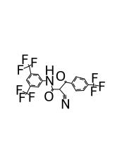 N#CC(C(=O)Nc1cc(C(F)(F)F)cc(C(F)(F)F)c1)C(=O)c1ccc(C(F)(F)F)cc1